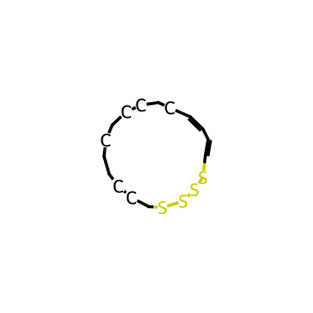 C1=C\CCCCCCCCCCCSSSS/C=C/1